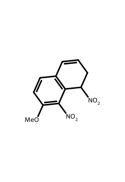 COc1ccc2c(c1[N+](=O)[O-])C([N+](=O)[O-])C[C]=C2